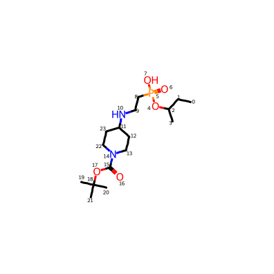 CCC(C)OP(=O)(O)CCNC1CCN(C(=O)OC(C)(C)C)CC1